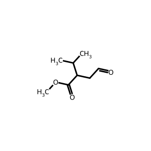 COC(=O)C(CC=O)C(C)C